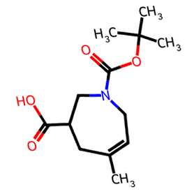 CC1=CCN(C(=O)OC(C)(C)C)CC(C(=O)O)C1